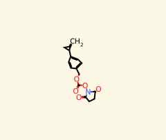 C=C1CC1c1ccc(COC(=O)ON2C(=O)CCC2=O)cc1